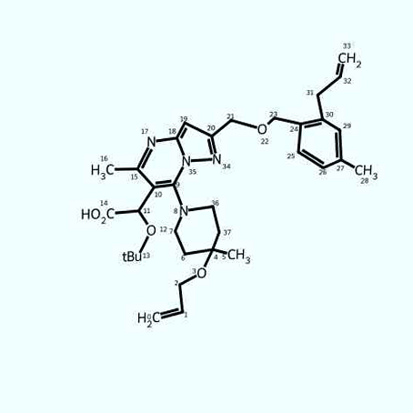 C=CCOC1(C)CCN(c2c(C(OC(C)(C)C)C(=O)O)c(C)nc3cc(COCc4ccc(C)cc4CC=C)nn23)CC1